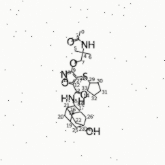 CC(=O)NC(C)(C)COc1noc(C(=O)N[C@H]2C3CC4CC2C[C@](O)(C4)C3)c1SC1CCCC1